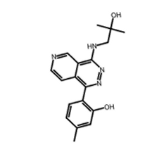 Cc1ccc(-c2nnc(NCC(C)(C)O)c3cnccc23)c(O)c1